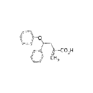 C=C(CC(Oc1ccccc1)c1ccccc1)C(=O)O